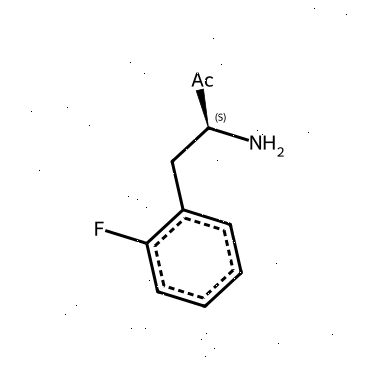 CC(=O)[C@@H](N)Cc1ccccc1F